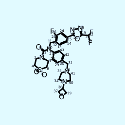 O=C(N1CCS(=O)(=O)CC1)N(Cc1ccc(-c2nnc(C(F)F)o2)cc1F)c1ccc(CN2CCN(C3COC3)CC2)cc1